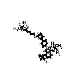 CC(C)(C)OC(=O)CCCCOc1cccc(C2CCC(OCC3C(NS(C)(=O)=O)CCCN3C(=O)OC(C)(C)C)CC2)n1